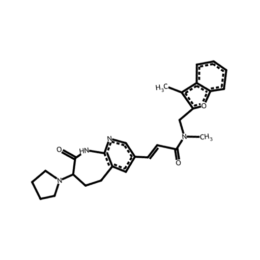 Cc1c(CN(C)C(=O)/C=C/c2cnc3c(c2)CCC(N2CCCC2)C(=O)N3)oc2ccccc12